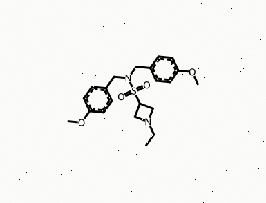 CCN1CC(S(=O)(=O)N(Cc2ccc(OC)cc2)Cc2ccc(OC)cc2)C1